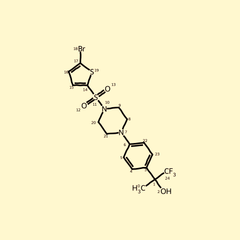 CC(O)(c1ccc(N2CCN(S(=O)(=O)c3ccc(Br)s3)CC2)cc1)C(F)(F)F